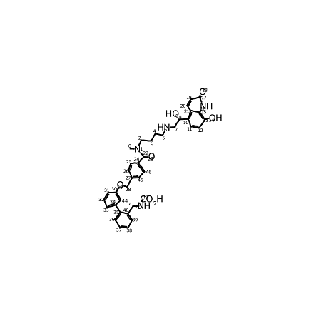 CN(CCCCNC[C@H](O)c1ccc(O)c2[nH]c(=O)ccc12)C(=O)c1ccc(COc2cccc(-c3ccccc3CNC(=O)O)c2)cc1